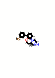 CSc1cccc(-c2cccc3c2OCC[C@H]2CNCCN32)c1